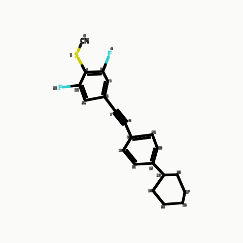 N#CSc1c(F)cc(C#Cc2ccc(C3CCCCC3)cc2)cc1F